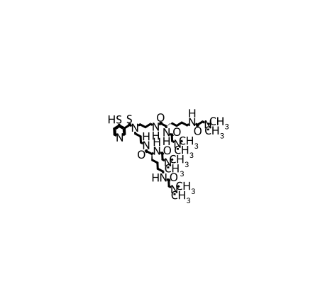 CN(C)CC(=O)NCCCC[C@H](NC(=O)CN(C)C)C(=O)NCCCN(CCCNC(=O)[C@H](CCCCNC(=O)CN(C)C)NC(=O)CN(C)C)C(=S)c1cnccc1S